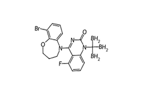 BC(B)(B)n1c(=O)nc(N2CCCOc3c(Br)cccc32)c2c(F)cccc21